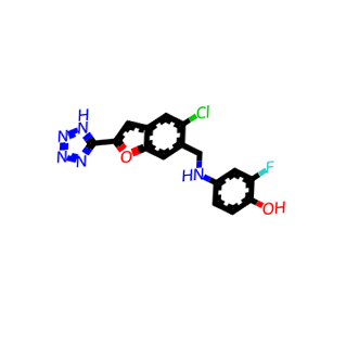 Oc1ccc(NCc2cc3oc(-c4nnn[nH]4)cc3cc2Cl)cc1F